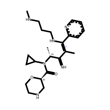 CNCCCN/C(=C(/C)C(=N)[C@@H](C)N(C(=O)[C@H]1CNCCO1)C1CC1)c1ccccn1